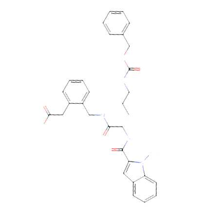 Cn1c(C(=O)N[C@@H](CCCNC(=O)OCc2ccccc2)C(=O)NCc2ccccc2CC(=O)O)cc2ccccc21